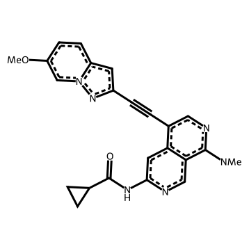 CNc1ncc(C#Cc2cc3ccc(OC)cn3n2)c2cc(NC(=O)C3CC3)ncc12